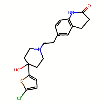 O=C1CCc2cc(CCN3CCC(O)(c4ccc(Cl)s4)CC3)ccc2N1